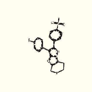 CS(=O)(=O)c1ccc(-c2nn3c4c(oc3c2-c2ccc(F)cc2)CSCC4)cc1